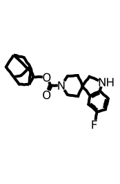 O=C(OC1C2CC3CC(C2)CC1C3)N1CCC2(CC1)CNc1ccc(F)cc12